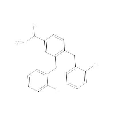 CCc1ccccc1Cc1ccc(C(CC)OC)cc1Cc1ccccc1CC